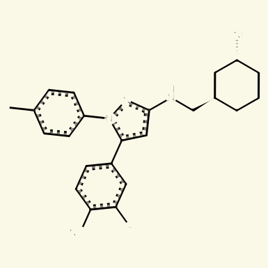 Cc1ccc(-n2nc(NC[C@@H]3CCC[C@@H](N)C3)cc2-c2ccc(C#N)c(F)c2)cc1